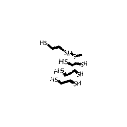 CSC.SCCS.SCCS.SCCS.SCCS